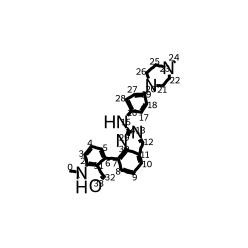 CNc1cccc(-c2cccc3cnc(Nc4ccc(N5CCN(C)CC5)cc4)nc23)c1C=O